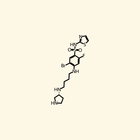 O=S(=O)(Nc1nccs1)c1cc(Br)c(NCCCCN[C@@H]2CCNC2)cc1F